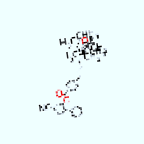 CC1(C)C[Si](C)(CCCCCc2ccc(C(=O)Oc3cc(C#N)ccc3-c3ccccc3)cc2)[Si](C)(C)[Si](C)(C)O1